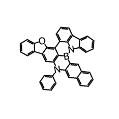 c1ccc(N2c3cc4ccccc4cc3B3c4c2cc2c(oc5ccccc52)c4-c2cccc4c5ccccc5n3c24)cc1